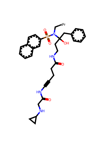 CC(C)CN(C(O)(CCNC(=O)CCC#CNC(=O)CNC1CC1)Cc1ccccc1)S(=O)(=O)c1ccc2ccccc2c1